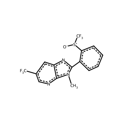 Cn1c(-c2ccccc2[S+]([O-])C(F)(F)F)nc2cc(C(F)(F)F)cnc21